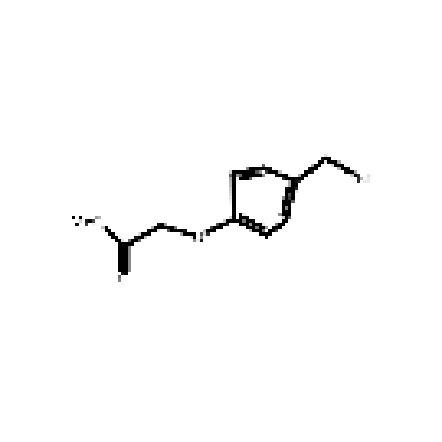 COC(=O)COc1ccc(CBr)cc1